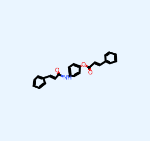 O=C(/C=C/c1ccccc1)Nc1ccc(OC(=O)/C=C/c2ccccc2)cc1